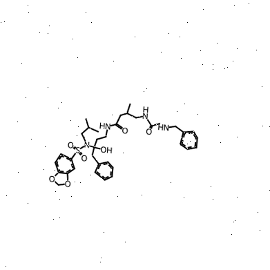 CC(C)CN(C(O)(CCNC(=O)CC(C)CNC(=O)CNCc1ccccc1)Cc1ccccc1)S(=O)(=O)c1ccc2c(c1)OCO2